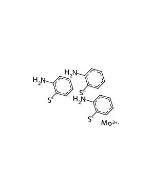 Nc1ccccc1[S-].Nc1ccccc1[S-].Nc1ccccc1[S-].[Mo+3]